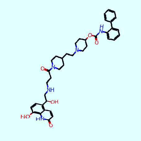 O=C(Nc1ccccc1-c1ccccc1)OC1CCN(CCC2CCN(C(=O)CCNC[C@@H](O)c3ccc(O)c4[nH]c(=O)ccc34)CC2)CC1